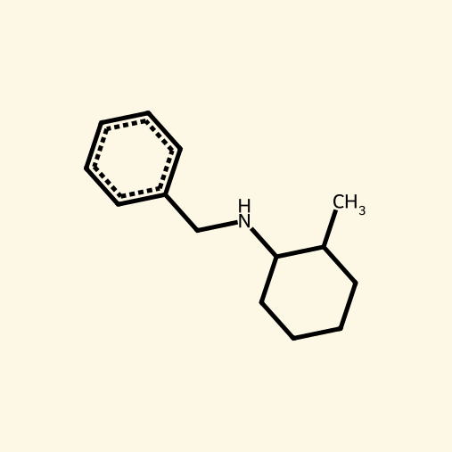 CC1CCCCC1NCc1ccccc1